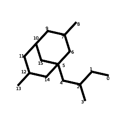 CCC(C)CC12CC(C)CC(CC(C)C1)C2